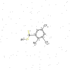 CC(C)SC(=S)c1cc(C(F)(F)F)cc(C(F)(F)F)c1C#N